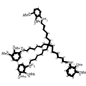 COc1cccc([SiH2]CCCCCCC(CCCCCC[SiH2]c2cccc(OC)c2OC)(CCCCCC[SiH2]c2cccc(OC)c2OC)CCCCCC[SiH2]c2cccc(OC)c2OC)c1OC